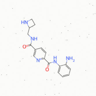 Nc1ccccc1NC(=O)c1ccc(C(=O)NCC2CCN2)cn1